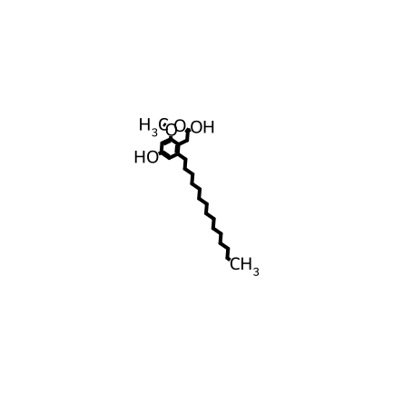 CCCCCCCCCCCCCCCc1cc(O)cc(OC)c1CC(=O)O